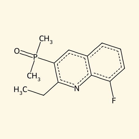 CCc1nc2c(F)cccc2cc1P(C)(C)=O